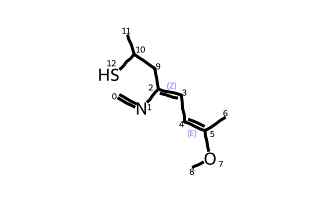 C=N/C(=C\C=C(/C)OC)CC(C)S